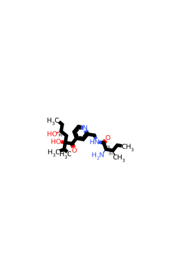 CC[C@@H](O)CC(O)(C(=O)c1ccnc(CNC(=O)[C@@H](N)[C@@H](C)CC)c1)C(C)C